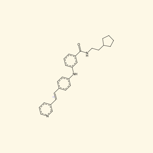 O=C(NCCC1CCCC1)c1cccc(Nc2ccc(/C=C/c3cccnc3)cc2)c1